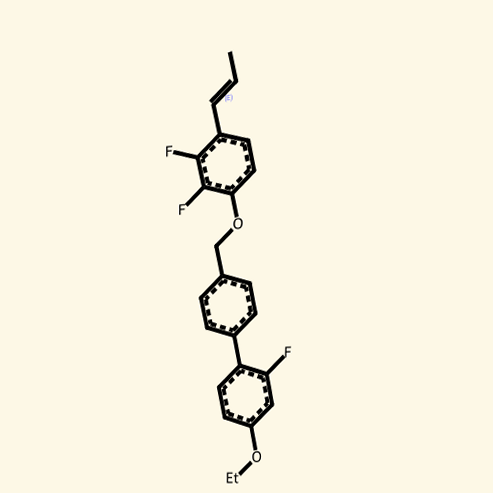 C/C=C/c1ccc(OCc2ccc(-c3ccc(OCC)cc3F)cc2)c(F)c1F